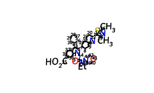 CCN(C(=O)Cn1c(-c2ccc3nc(-c4sc(C)nc4C)ccc3c2)c(C2CCCCC2)c2ccc(C(=O)O)cc21)N1CCOCC1